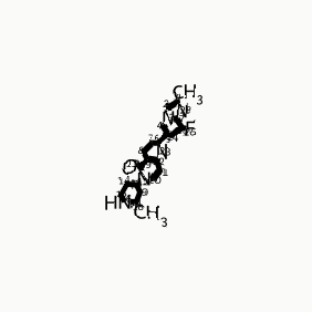 Cc1cn2cc(-c3ccc4c(=O)n([C@@H]5CCN[C@H](C)C5)ccc4n3)cc(F)c2n1